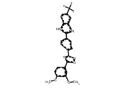 COc1ccc(-c2nc(-c3ccc(-c4nc5cc(C(F)(F)F)ccc5[nH]4)cc3)no2)cc1OC